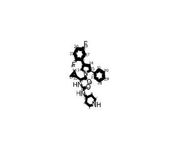 O=C(NC1CCNCC1)N[C@H](C(=O)N1CC(c2cc(F)ccc2F)=C[C@H]1c1ccccc1)C1CC1